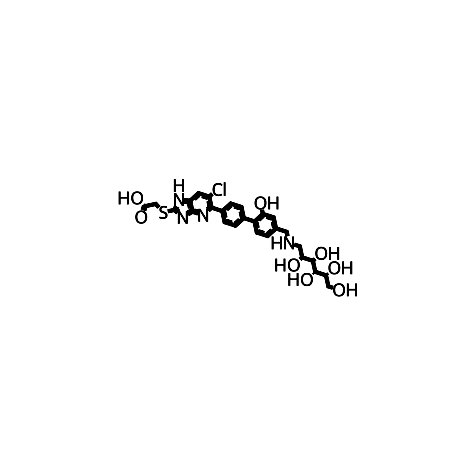 O=C(O)CSc1nc2nc(-c3ccc(-c4ccc(CNCC(O)C(O)[C@@H](O)[C@@H](O)CO)cc4O)cc3)c(Cl)cc2[nH]1